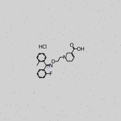 Cc1ccccc1/C(=N\OCCN1CCC=C(C(=O)O)C1)c1ccccc1F.Cl